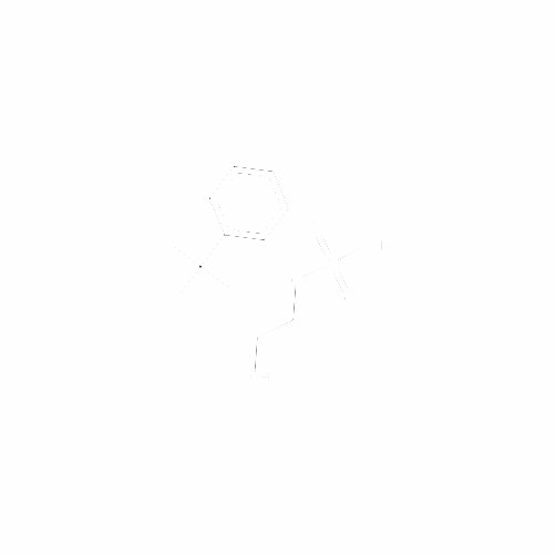 CCCOS(C)(=O)=O.FC(F)(F)c1ccccc1